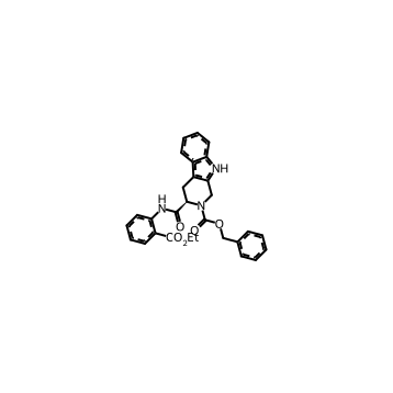 CCOC(=O)c1ccccc1NC(=O)[C@H]1Cc2c([nH]c3ccccc23)CN1C(=O)OCc1ccccc1